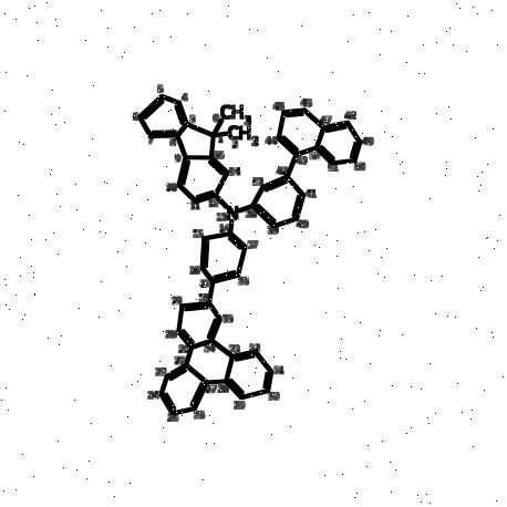 CC1(C)c2ccccc2-c2ccc(N(c3ccc(-c4ccc5c6ccccc6c6ccccc6c5c4)cc3)c3cccc(-c4cccc5ccccc45)c3)cc21